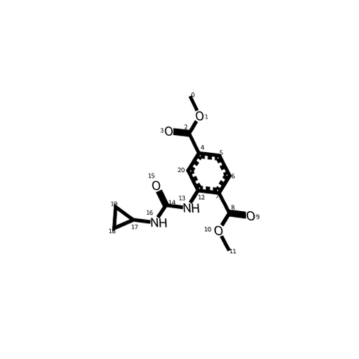 COC(=O)c1ccc(C(=O)OC)c(NC(=O)NC2CC2)c1